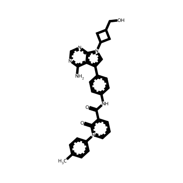 Cc1ccc(-n2cccc(C(=O)Nc3ccc(-c4cn(C5CC(CO)C5)c5ncnc(N)c45)cc3)c2=O)cc1